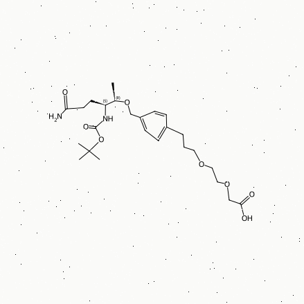 C[C@@H](OCc1ccc(CCCOCCOCC(=O)O)cc1)[C@H](CCC(N)=O)NC(=O)OC(C)(C)C